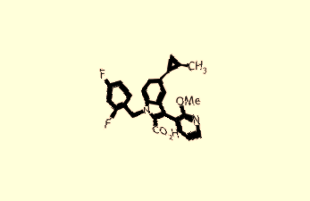 COc1ncccc1-c1c(C(=O)O)n(Cc2ccc(F)cc2F)c2c1=CC([C@H]1C[C@H]1C)CC=2